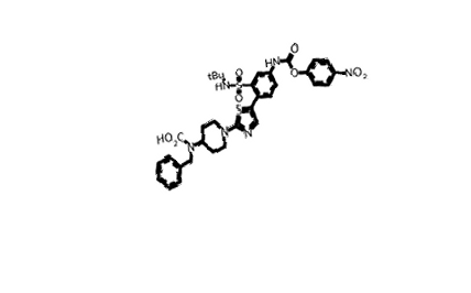 CC(C)(C)NS(=O)(=O)c1cc(NC(=O)Oc2ccc([N+](=O)[O-])cc2)ccc1-c1cnc(N2CCC(N(Cc3ccccc3)C(=O)O)CC2)s1